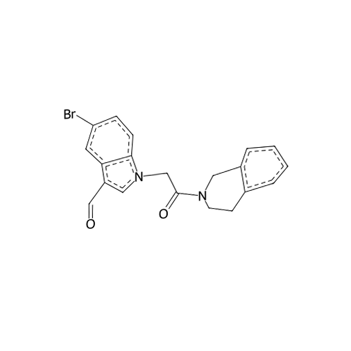 O=Cc1cn(CC(=O)N2CCc3ccccc3C2)c2ccc(Br)cc12